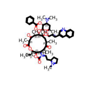 CC[C@H]1OC(=O)[C@H](C)C(=O)[C@H](C)[C@@H](O[C@@H]2O[C@H](C)C[C@H](N(C)C)[C@H]2OC(=O)c2ccccc2)[C@](C)(OC/C=C/c2cnc3ccccc3c2)C[C@@H](C)C(=O)[C@H](C)[C@H]2N(CCC3CCCN3C)C(=O)O[C@]12C